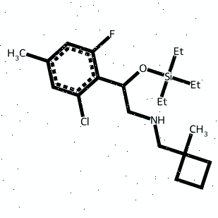 CC[Si](CC)(CC)OC(CNCC1(C)CCC1)c1c(F)cc(C)cc1Cl